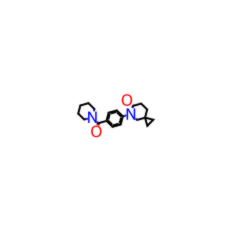 O=C(c1ccc(N2CC3(CCC2=O)CC3)cc1)N1CCCCC1